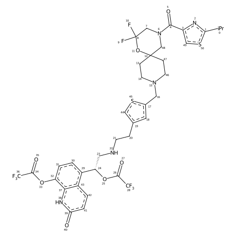 CC(C)c1nc(C(=O)N2CC(F)(F)OC3(CCN(Cc4cc(CCNC[C@H](OC(=O)C(F)(F)F)c5ccc(OC(=O)C(F)(F)F)c6[nH]c(=O)ccc56)cs4)CC3)C2)cs1